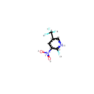 O=[N+]([O-])c1cc(C(F)(F)F)cnc1F